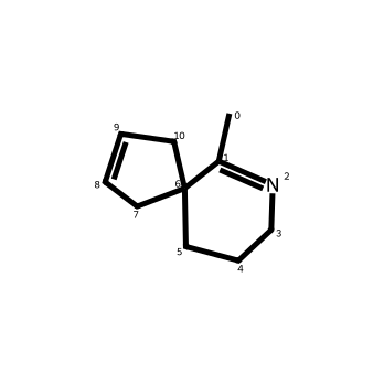 CC1=NCCCC12CC=CC2